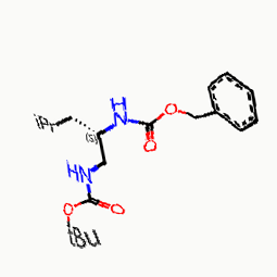 CC(C)C[C@@H](CNC(=O)OC(C)(C)C)NC(=O)OCc1ccccc1